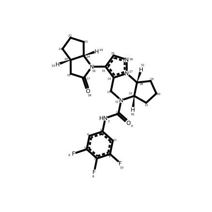 O=C(Nc1cc(F)c(F)c(F)c1)N1Cc2c(N3C(=O)C[C@@H]4CCC[C@@H]43)cnn2[C@@H]2CCC[C@@H]21